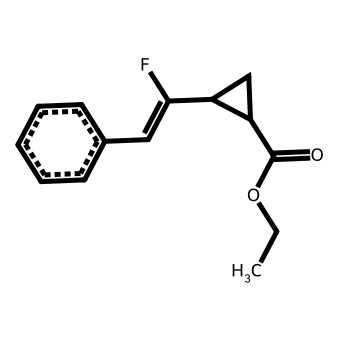 CCOC(=O)C1CC1/C(F)=C/c1ccccc1